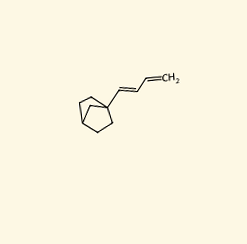 C=CC=CC12CCC(CC1)C2